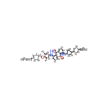 CCCCCC1CCC(COc2c(C)cc(Nc3cccc4c3C(=O)c3cccc(Nc5ccc(C6CCC(CCCC)CC6)cc5)c3C4=O)cc2C)CC1